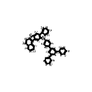 c1ccc(-c2cc(-c3ccccc3)cc(-c3ccc(-n4c5ccccc5c5cc6sc7ccc8ccccc8c7c6cc54)cc3)c2)cc1